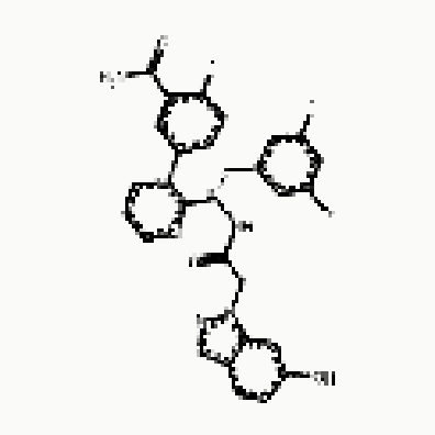 NC(=O)c1cc(-c2cccnc2[C@H](Cc2cc(F)cc(F)c2)NC(=O)Cn2ncc3ccc(O)cc32)ccc1F